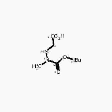 CN(NCC(=O)O)C(=O)OC(C)(C)C